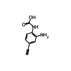 C#Cc1ccc(NC(=O)O)c(N)c1